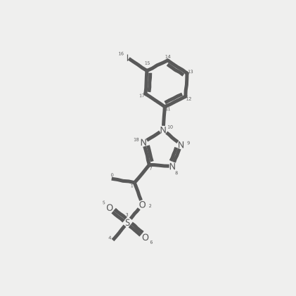 CC(OS(C)(=O)=O)c1nnn(-c2cccc(I)c2)n1